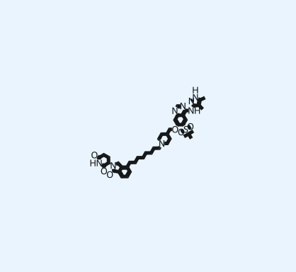 Cc1[nH]nc(Nc2ncnc3cc(OCC4CCN(CCCCCCCCc5cccc6c5CN([C@H]5CCC(=O)NC5=O)C6=O)CC4)c(S(=O)(=O)C(C)(C)C)cc23)c1C